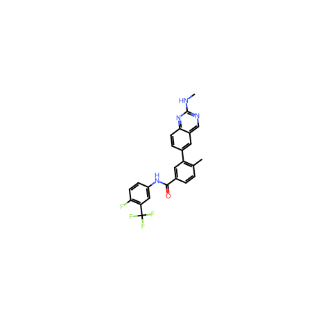 CNc1ncc2cc(-c3cc(C(=O)Nc4ccc(F)c(C(F)(F)F)c4)ccc3C)ccc2n1